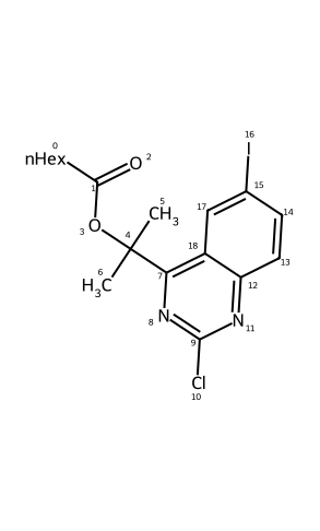 CCCCCCC(=O)OC(C)(C)c1nc(Cl)nc2ccc(I)cc12